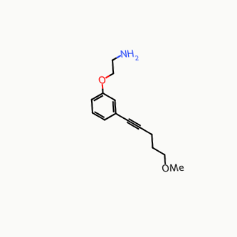 COCCCC#Cc1cccc(OCCN)c1